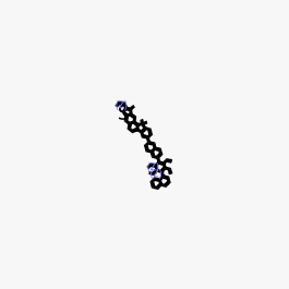 C=Cc1c(C=C)c(-c2cccc3ccccc23)c(=C/C)/c(=C\C)c1-c1ccc2cc(-c3ccc4c(c3)-c3ccc5cc6sc(/C=C\C)c(C)c6cc5c3C4(C)C)ccc2c1